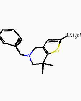 CCOC(=O)c1cc2c(s1)C(C)(C)CN(Cc1ccccc1)C2